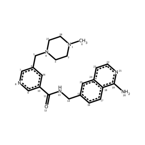 CN1CCN(Cc2cncc(C(=O)NCc3ccc4c(N)nccc4c3)c2)CC1